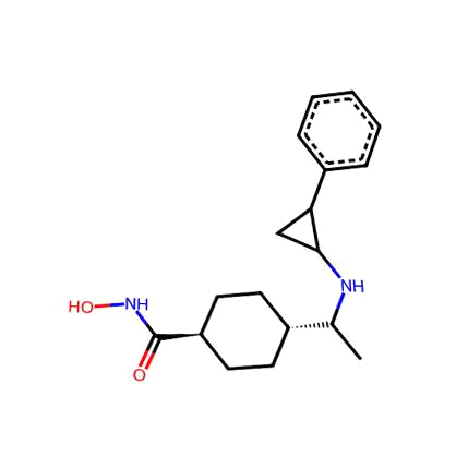 CC(NC1CC1c1ccccc1)[C@H]1CC[C@H](C(=O)NO)CC1